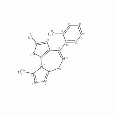 Cc1nnc2n1-c1sc(Cl)cc1C(c1ccccc1C(F)(F)F)=NC2